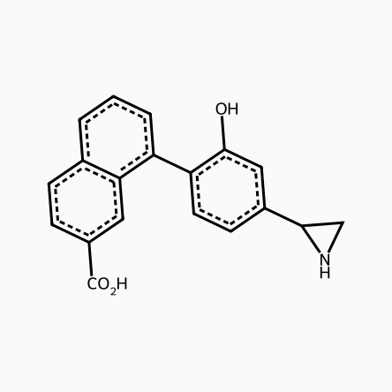 O=C(O)c1ccc2cccc(-c3ccc(C4CN4)cc3O)c2c1